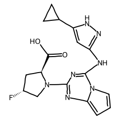 O=C(O)[C@@H]1C[C@@H](F)CN1c1nc(Nc2cc(C3CC3)[nH]n2)n2cccc2n1